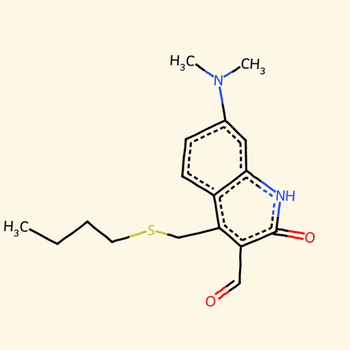 CCCCSCc1c(C=O)c(=O)[nH]c2cc(N(C)C)ccc12